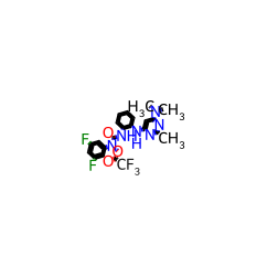 Cc1nc(NC2CCCCC2NC(=O)N(OC(=O)C(F)(F)F)c2cc(F)cc(F)c2)cc(N(C)C)n1